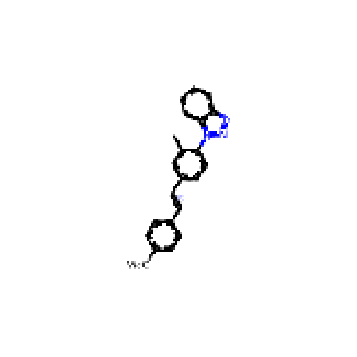 COc1ccc(/C=C/c2ccc(-n3nnc4ccccc43)c(C)c2)cc1